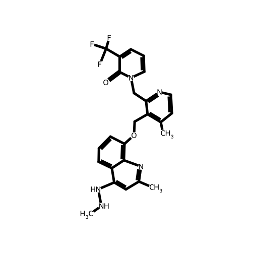 CNNc1cc(C)nc2c(OCc3c(C)ccnc3Cn3cccc(C(F)(F)F)c3=O)cccc12